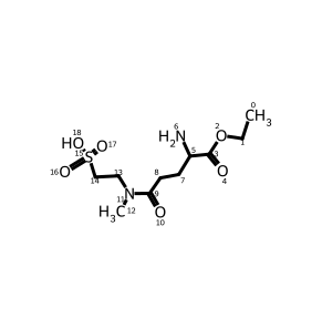 CCOC(=O)C(N)CCC(=O)N(C)CCS(=O)(=O)O